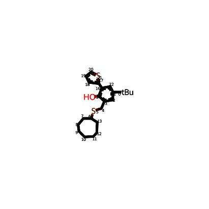 CC(C)(C)c1cc(CSC2CCCCCCC2)c(O)c(-c2cccs2)c1